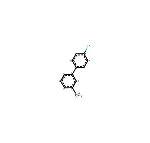 O=[N+]([O-])c1cc[c]c(-c2ccc(F)cc2)c1